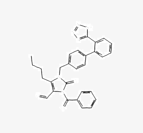 CCCCc1c(C=O)n(C(=O)c2ccccc2)c(=O)n1Cc1ccc(-c2ccccc2-c2nnn[nH]2)cc1